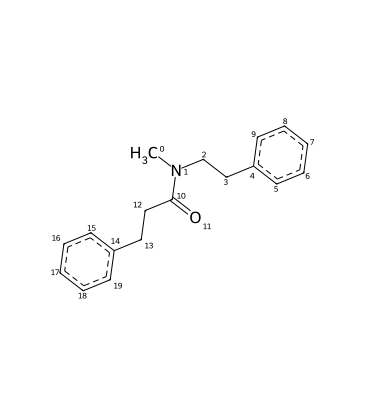 CN(CCc1ccccc1)C(=O)CCc1ccccc1